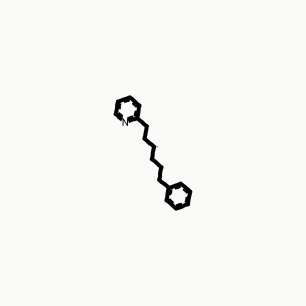 [CH](CCCc1ccccc1)CCc1ccccn1